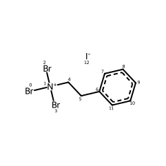 Br[N+](Br)(Br)CCc1ccccc1.[I-]